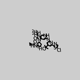 [2H]C([2H])([2H])n1c(=O)n([C@@H]2CC[C@](C)(NC(=O)C3CC3)C2)c2cc(Nc3cc(C(C)(C)O)cc(-c4ncc(Cl)s4)n3)ncc21